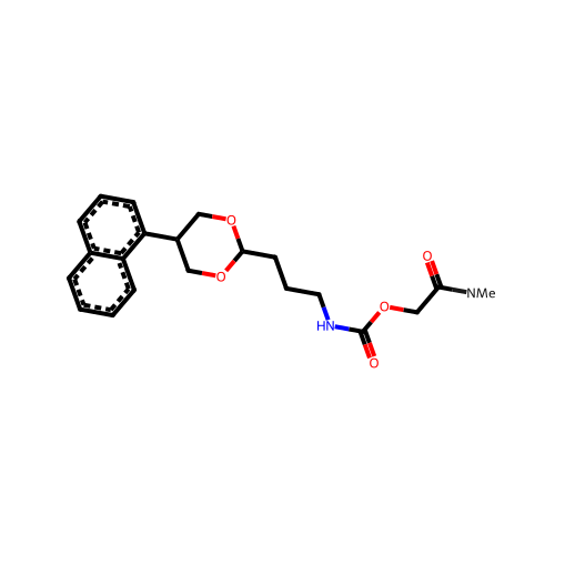 CNC(=O)COC(=O)NCCCC1OCC(c2cccc3ccccc23)CO1